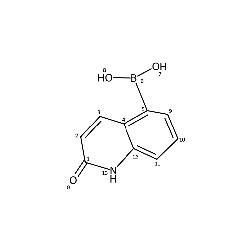 O=c1ccc2c(B(O)O)cccc2[nH]1